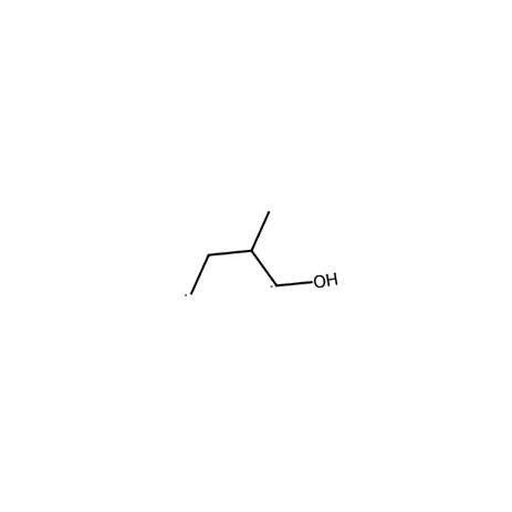 [CH2]CC(C)[CH]O